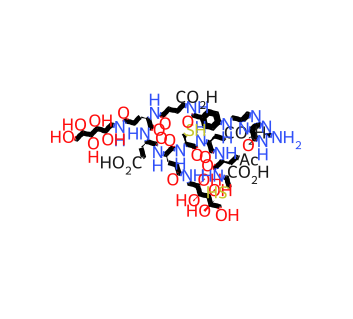 CC(=O)CC[C@H](NC(=O)[C@H](CCC(=O)O)NC(=O)[C@H](CS)NC(=O)[C@H](CCC(=O)NC[C@H](O)[C@@H](O)[C@H](O)[C@H](O)CO)NC(=O)[C@H](CCC(=O)O)NC(=O)[C@H](CCC(=O)NC[C@H](O)[C@@H](O)[C@H](O)[C@H](O)CO)NC(=O)CC[C@H](NC(=O)c1ccc(NCc2cnc3nc(N)[nH]c(=O)c3n2)cc1)C(=O)O)C(=O)N[C@@H](CS)C(=O)O